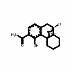 NC(=O)c1ccc2c(c1O)C13CCCC[C@H]1[C@H](CCC3)C2